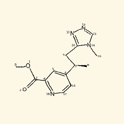 COC(=O)c1cc([C@H](C)Cc2nncn2C)ccn1